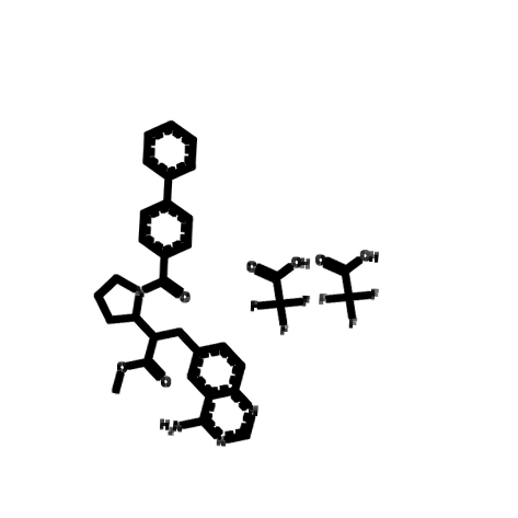 COC(=O)C(Cc1ccc2ncnc(N)c2c1)C1CCCN1C(=O)c1ccc(-c2ccccc2)cc1.O=C(O)C(F)(F)F.O=C(O)C(F)(F)F